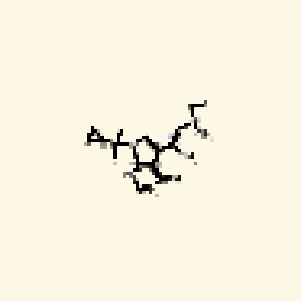 CCN(N)/C=C(\N)c1cn(C(C)(C)C2CC2)c2ncnc(N)c12